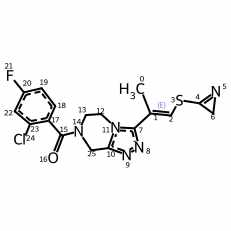 C/C(=C\SC1=NC1)c1nnc2n1CCN(C(=O)c1ccc(F)cc1Cl)C2